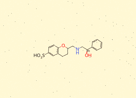 O=S(=O)(O)c1ccc2c(c1)CCC(CNC[C@H](O)c1ccccc1)O2